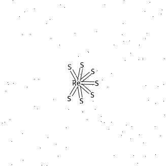 [S]=[Re](=[S])(=[S])(=[S])(=[S])(=[S])=[S]